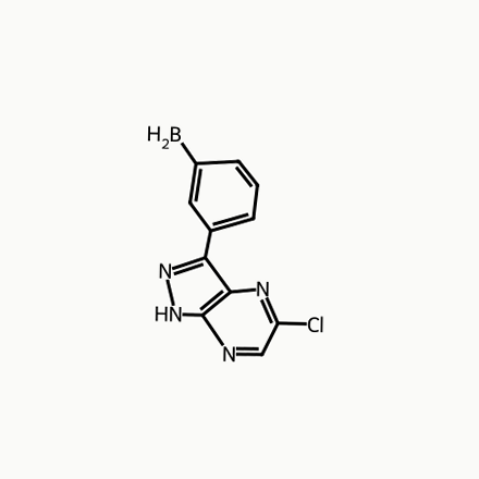 Bc1cccc(-c2n[nH]c3ncc(Cl)nc23)c1